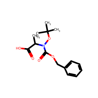 CC(C(=O)O)N(OC(C)(C)C)C(=O)OCc1ccccc1